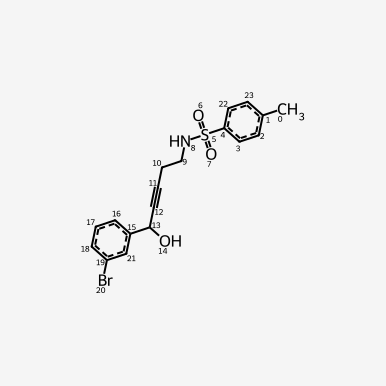 Cc1ccc(S(=O)(=O)NCCC#CC(O)c2cccc(Br)c2)cc1